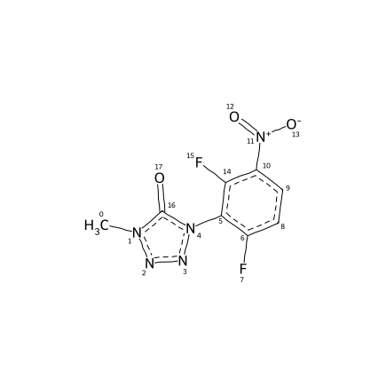 Cn1nnn(-c2c(F)ccc([N+](=O)[O-])c2F)c1=O